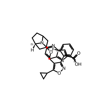 O=C(O)c1cn2nc(N3C4CC[C@H]3CC(OCc3c(-c5c(F)cccc5F)noc3C3CC3)C4)ccc2n1